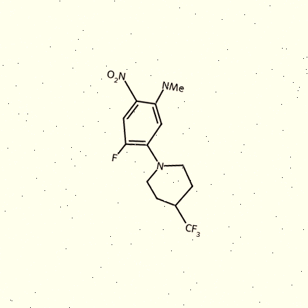 CNc1cc(N2CCC(C(F)(F)F)CC2)c(F)cc1[N+](=O)[O-]